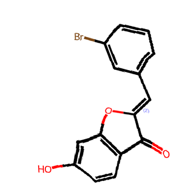 O=C1/C(=C/c2cccc(Br)c2)Oc2cc(O)ccc21